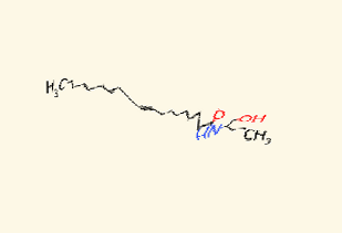 CCCCCCCCC=CCCCCCCCC(=O)NC(CO)CCC